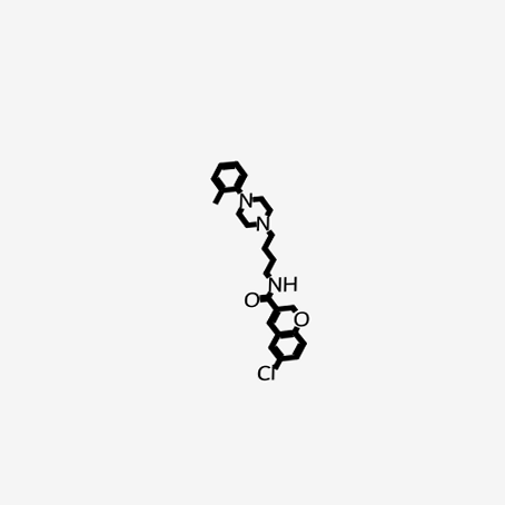 Cc1ccccc1N1CCN(CCCCNC(=O)C2=Cc3cc(Cl)ccc3OC2)CC1